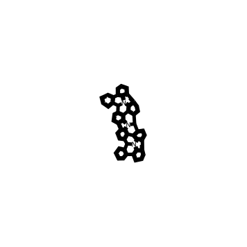 c1ccc2c(c1)-c1cccc3c4ccc5c6c4n(c13)C2c1ccc2c3ccc4c7c3n(c2c1-6)C5c1ccc2c3cccc5c3n(c2c1-7)C4c1ccccc1-5